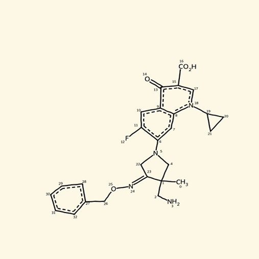 CC1(CN)CN(c2cc3c(cc2F)c(=O)c(C(=O)O)cn3C2CC2)C/C1=N\OCc1ccccc1